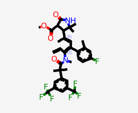 C=C/C(=C(\C=C(/C)C1C(C(=O)OC)C(=O)NC1(C)C)c1ccc(F)cc1C)N(C)C(=O)C(C)(C)c1cc(C(F)(F)F)cc(C(F)(F)F)c1